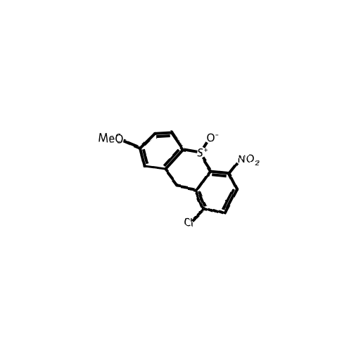 COc1ccc2c(c1)Cc1c(Cl)ccc([N+](=O)[O-])c1[S+]2[O-]